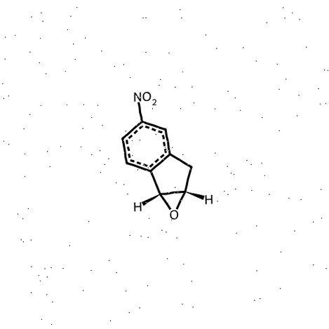 O=[N+]([O-])c1ccc2c(c1)C[C@@H]1O[C@H]21